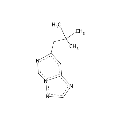 CC(C)(C)Cc1cc2ncnn2cn1